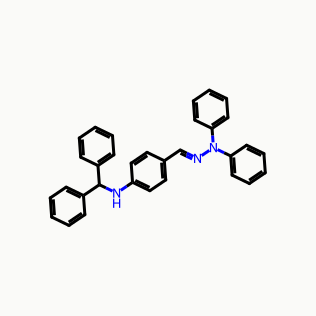 C(=NN(c1ccccc1)c1ccccc1)c1ccc(NC(c2ccccc2)c2ccccc2)cc1